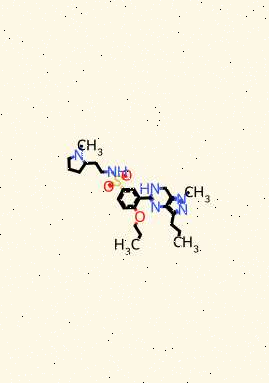 CCCOc1ccc(S(=O)(=O)NCCC2CCCN2C)cc1C1=Nc2c(CCC)nn(C)c2CN1